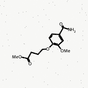 COC(=O)CCCOc1ccc(C(N)=O)cc1OC